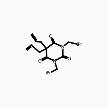 C=CCC1(CC=C)C(=O)N(CC(C)C)C(=O)N(CC(C)C)C1=O